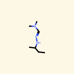 CCC(C)NN=CN(C)C